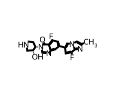 Cc1cn2cc(-c3cc(F)c4c(=O)n([C@H]5CCNC[C@H]5O)cnc4c3)cc(F)c2n1